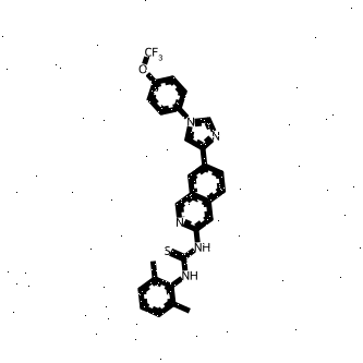 Cc1cccc(C)c1NC(=S)Nc1cc2ccc(-c3cn(-c4ccc(OC(F)(F)F)cc4)cn3)cc2cn1